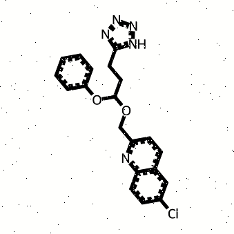 Clc1ccc2nc(COC(CCc3nnn[nH]3)Oc3ccccc3)ccc2c1